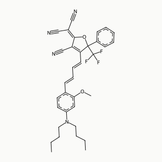 CCCCN(CCCC)c1ccc(C=CC=CC2=C(C#N)C(=C(C#N)C#N)OC2(c2ccccc2)C(F)(F)F)c(OC)c1